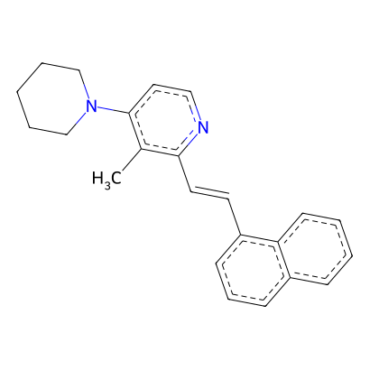 Cc1c(N2CCCCC2)ccnc1/C=C/c1cccc2ccccc12